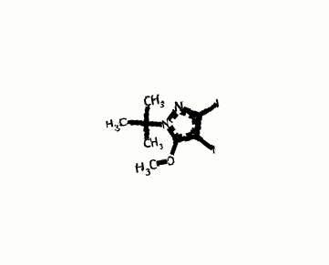 COc1c(I)c(I)nn1C(C)(C)C